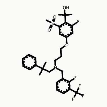 CC(C)(O)c1c(F)cc(OCCCN(Cc2cccc(C(F)(F)F)c2F)CC(C)(C)c2ccccc2)cc1S(C)(=O)=O